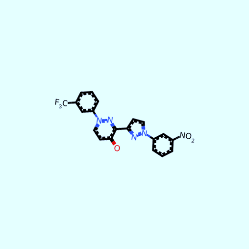 O=c1ccn(-c2cccc(C(F)(F)F)c2)nc1-c1ccn(-c2cccc([N+](=O)[O-])c2)n1